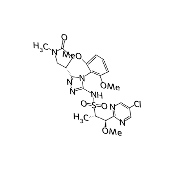 COc1cccc(OC)c1-n1c(NS(=O)(=O)[C@@H](C)[C@H](OC)c2ncc(Cl)cn2)nnc1[C@H]1CC(=O)N(C)C1